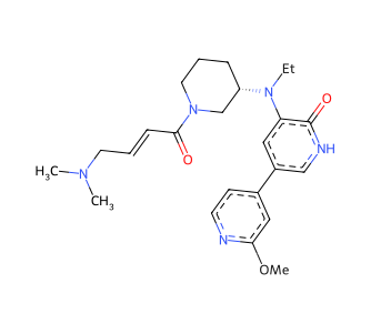 CCN(c1cc(-c2ccnc(OC)c2)c[nH]c1=O)[C@H]1CCCN(C(=O)/C=C/CN(C)C)C1